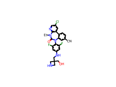 CCN1C(=O)N(c2c(F)cc(NCC3(CO)CNC3)cc2F)c2cc(C#N)ccc2-c2cc(Cl)cnc21